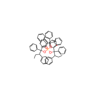 CCC(c1ccccc1)C(OP(=O)(OC(c1ccccc1)(c1ccccc1)C(CC)c1ccccc1)OC(c1ccccc1)(c1ccccc1)C(CC)c1ccccc1)(c1ccccc1)c1ccccc1